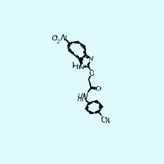 N#Cc1ccc(NC(=O)COc2nc3ccc([N+](=O)[O-])cc3[nH]2)cc1